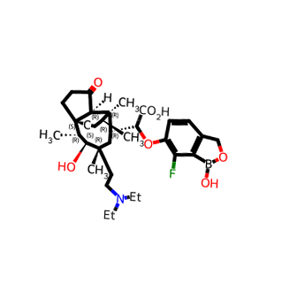 CCN(CC)CC[C@@]1(C)C[C@@H](C(Oc2ccc3c(c2F)B(O)OC3)C(=O)O)[C@@]2(C)[C@H](C)CC[C@]3(CCC(=O)[C@H]32)[C@@H](C)[C@@H]1O